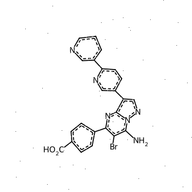 Nc1c(Br)c(-c2ccc(C(=O)O)cc2)nc2c(-c3ccc(-c4cccnc4)nc3)cnn12